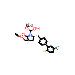 C=COC[C@]1(C)C[C@@H](Cc2ccc(-c3cc(Cl)ccc3F)cc2)N(C(O)OC(C)(C)C)C1=O